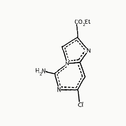 CCOC(=O)c1cn2c(N)nc(Cl)cc2n1